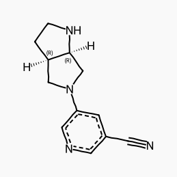 N#Cc1cncc(N2C[C@H]3CCN[C@H]3C2)c1